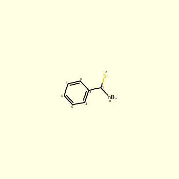 CCCCC([S])c1ccccc1